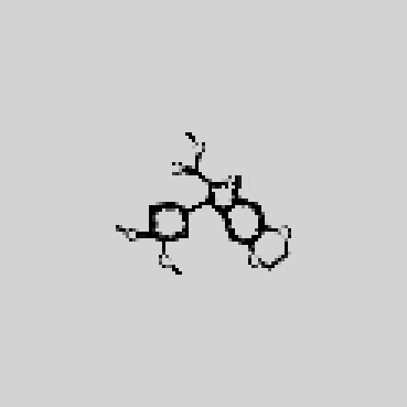 COC(=O)c1[nH]c2cc3c(cc2c1-c1ccc(OC)c(OC)c1)OCCO3